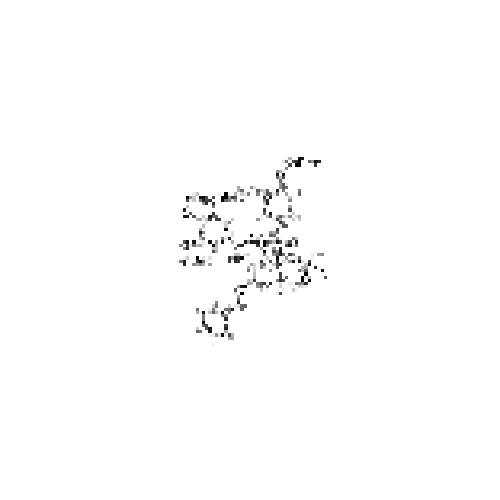 CCCCCCCCCCOc1ccc(C(=O)N[C@H]2[C@H](OCc3ccccc3)O[C@@H]3COC(C)(C)O[C@H]3[C@@H]2OC(=O)c2ccc(OCCCCCCCCCC)c(OCCCCCCCCCC)c2)cc1OCCCCCCCCCC